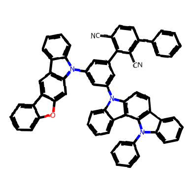 N#Cc1ccc(-c2ccccc2)c(C#N)c1-c1cc(-n2c3ccccc3c3cc4c(cc32)oc2ccccc24)cc(-n2c3ccccc3c3c2ccc2c4ccccc4n(-c4ccccc4)c23)c1